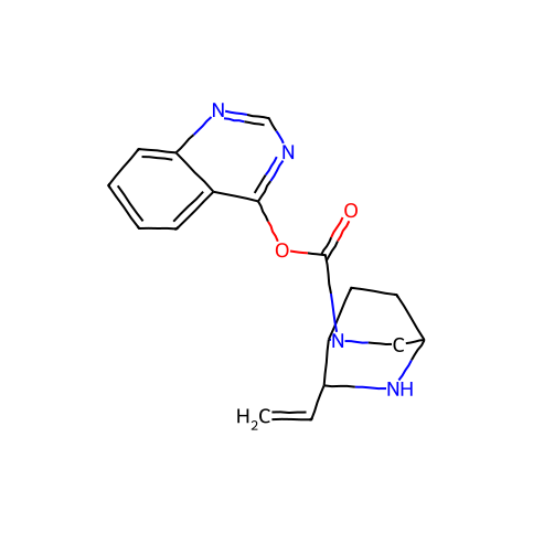 C=CC1NC2CCC1N(C(=O)Oc1ncnc3ccccc13)C2